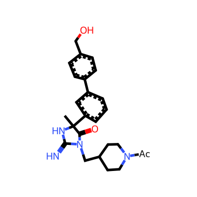 CC(=O)N1CCC(CN2C(=N)NC(C)(c3cccc(-c4ccc(CO)cc4)c3)C2=O)CC1